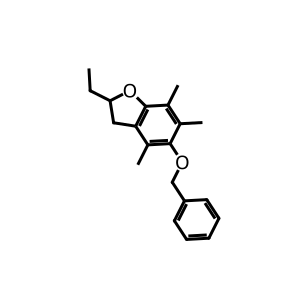 CCC1Cc2c(C)c(OCc3ccccc3)c(C)c(C)c2O1